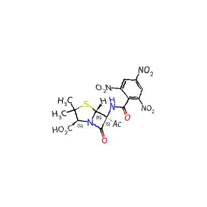 CC(=O)[C@]1(NC(=O)c2c([N+](=O)[O-])cc([N+](=O)[O-])cc2[N+](=O)[O-])C(=O)N2[C@@H](C(=O)O)C(C)(C)S[C@@H]21